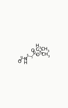 CC(C)(C)OC(=O)CCNC=O